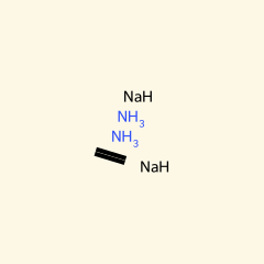 C=C.N.N.[NaH].[NaH]